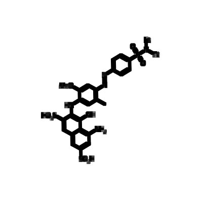 CCN(CC)S(=O)(=O)c1ccc(/N=N/c2cc(OC)c(Nc3c(S(=O)(=O)O)cc4cc(S(=O)(=O)O)cc(N)c4c3O)cc2C)cc1